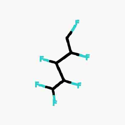 FCC(F)C(F)C(F)C(F)F